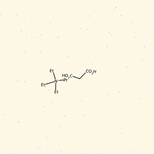 CC[N+](CC)(CC)C(C)C.O=C(O)CC(=O)O